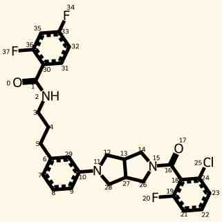 O=C(NCCCc1cccc(N2CC3CN(C(=O)c4c(F)cccc4Cl)CC3C2)c1)c1ccc(F)cc1F